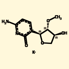 CO[C@H]1[C@H](n2ccc(N)nc2=O)OC[C@@H]1O.[K]